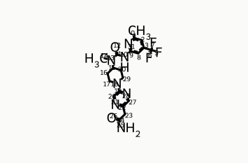 Cc1cc(C(F)(F)F)cc(NC(=O)N(C)C2CCN(c3cnc(CC(N)=O)cn3)CC2)n1